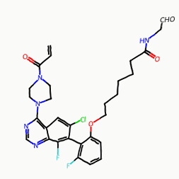 C=CC(=O)N1CCN(c2ncnc3c(F)c(-c4c(F)cccc4OCCCCCCC(=O)NCC=O)c(Cl)cc23)CC1